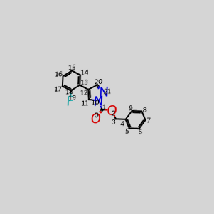 O=C(OCc1ccccc1)n1cc(-c2ccccc2F)cn1